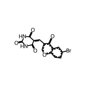 O=C1NC(=O)C(=Cc2coc3ccc(Br)cc3c2=O)C(=O)N1